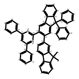 CC1(C)c2ccccc2-c2ccc(-c3cc4c(cc3-c3nc(-c5ccccc5)cc(-c5ccccc5)n3)-c3ccccc3C4(c3ccccc3)c3ccccc3)cc21